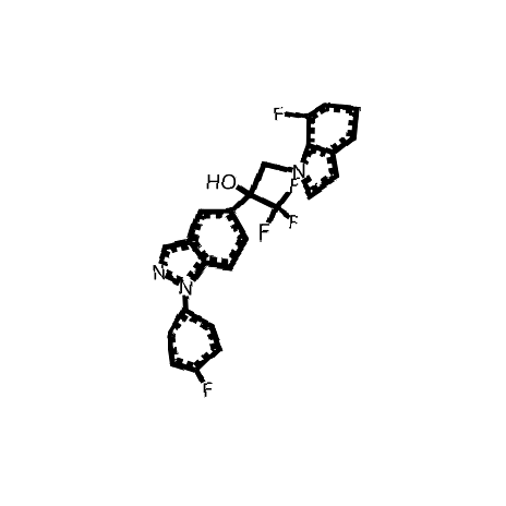 OC(Cn1ccc2cccc(F)c21)(c1ccc2c(cnn2-c2ccc(F)cc2)c1)C(F)(F)F